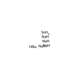 [NaH].[NaH].[NaH].[NaH].[NaH].[SnH4]